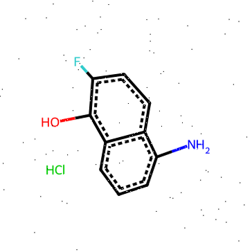 Cl.Nc1cccc2c(O)c(F)ccc12